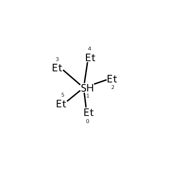 CC[SH](CC)(CC)(CC)CC